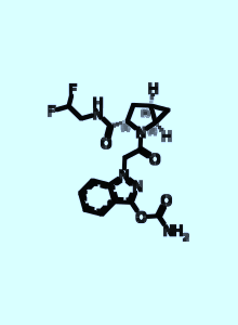 NC(=O)Oc1nn(CC(=O)N2[C@@H]3C[C@@H]3C[C@H]2C(=O)NCC(F)F)c2ccccc12